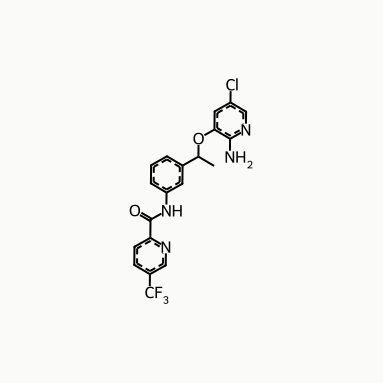 CC(Oc1cc(Cl)cnc1N)c1cccc(NC(=O)c2ccc(C(F)(F)F)cn2)c1